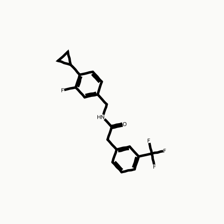 O=C(Cc1cccc(C(F)(F)F)c1)NCc1ccc(C2CC2)c(F)c1